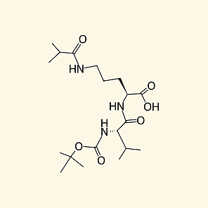 CC(C)C(=O)NCCC[C@H](NC(=O)[C@@H](NC(=O)OC(C)(C)C)C(C)C)C(=O)O